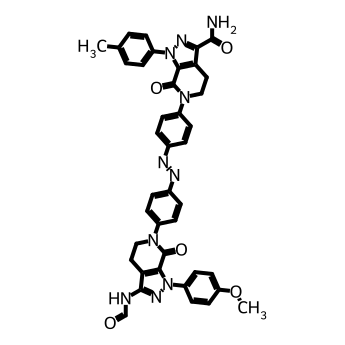 COc1ccc(-n2nc(NC=O)c3c2C(=O)N(c2ccc(/N=N/c4ccc(N5CCc6c(C(N)=O)nn(-c7ccc(C)cc7)c6C5=O)cc4)cc2)CC3)cc1